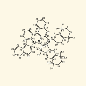 CC1(C)CCC(C)(C)c2cc(N3C4=C(B5c6c3cc3ccccc3c6-c3cccc6c7c8ccccc8ccc7n5c36)C(C)(C)c3cc5c(cc34)C(C)(C)CCC5(C)C)ccc21